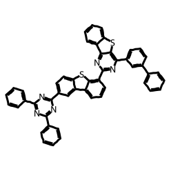 c1ccc(-c2cccc(-c3nc(-c4cccc5c4sc4ccc(-c6nc(-c7ccccc7)nc(-c7ccccc7)n6)cc45)nc4c3sc3ccccc34)c2)cc1